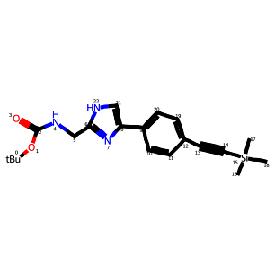 CC(C)(C)OC(=O)NCc1nc(-c2ccc(C#C[Si](C)(C)C)cc2)c[nH]1